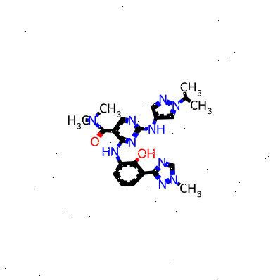 CC(C)n1cc(Nc2ncc(C(=O)N(C)C)c(Nc3cccc(-c4ncn(C)n4)c3O)n2)cn1